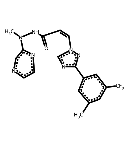 Cc1cc(-c2ncn(/C=C\C(=O)NN(C)c3cnccn3)n2)cc(C(F)(F)F)c1